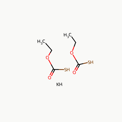 CCOC(=O)S.CCOC(=O)S.[KH]